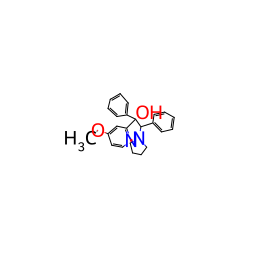 COc1ccnc(C(O)(c2ccccc2)C(c2ccccc2)N2CCCC2)c1